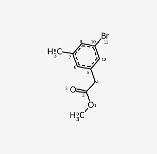 COC(=O)Cc1cc(C)cc(Br)c1